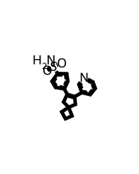 NS(=O)(=O)c1ccc(C2=C(c3cccnc3)CC3(CCC3)C2)cc1